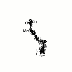 CCC(CC)C1CC(=O)N(C(CNCC(=O)O)C(=O)NCC(=O)NCC(=O)N[C@@H](Cc2ccccc2)C(=O)NCC(=O)NCO[C@@H](C)C(=O)Nc2ccc(C3=CN4C(=O)c5cc(OC)c(OCCCCC(=O)N6C[C@@H](CCl)c7c6cc(O)c6cccc(C)c76)cc5N=C[C@@H]4C3)cc2)C1=O